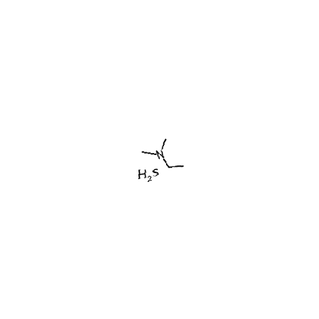 CCN(C)C.S